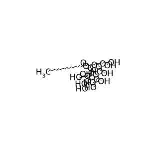 CCCCCCCCCCCCCCCCCC(=O)OCC(COCC(COCC(O)CO)OCC(O)CO)OCC(COCC(CO)OCC(O)CO)OCC(COCC(O)CO)OCC(O)CO